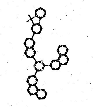 CC1(C)c2ccccc2-c2ccc(-c3ccc4ccc(-c5nc(-c6ccc7ccc8ccccc8c7c6)nc(-c6ccc7ccc8ccccc8c7c6)n5)cc4c3)cc21